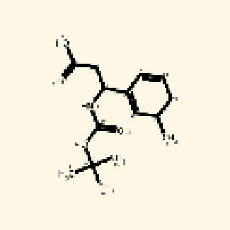 CC1C=C(C(CC(=O)O)NC(=O)OC(C)(C)C)C=CC1